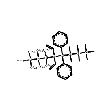 C=C[Si](C=C)([Si](OC)(OC)[Si](OC)(OC)[Si](OC)(OC)OC)[Si](c1ccccc1)(c1ccccc1)[Si](C)(C)[Si](C)(C)[Si](C)(C)C